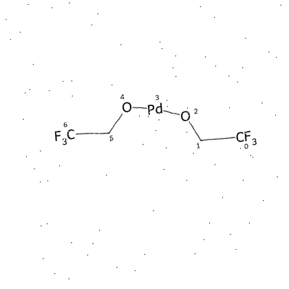 FC(F)(F)C[O][Pd][O]CC(F)(F)F